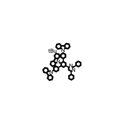 CC(C)(C)c1ccc2c(c1)c1ccccc1n2-c1c(-c2ccc(-n3c4ccccc4c4ccccc43)cc2)cc(-c2cc(-c3ccccc3)nc(-c3ccccc3)n2)cc1-c1ccc(-n2c3ccccc3c3ccccc32)cc1